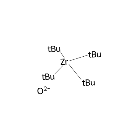 C[C](C)(C)[Zr]([C](C)(C)C)([C](C)(C)C)[C](C)(C)C.[O-2]